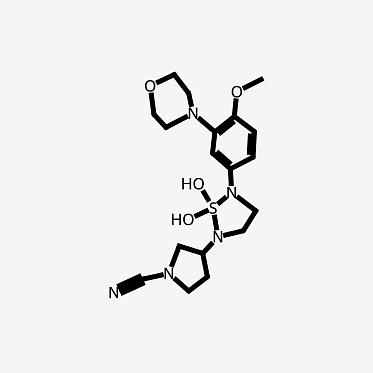 COc1ccc(N2CCN(C3CCN(C#N)C3)S2(O)O)cc1N1CCOCC1